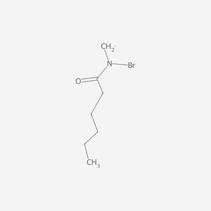 [CH2]N(Br)C(=O)CCCCC